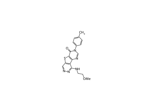 COCCNc1nncc2sc3c(=O)n(-c4ccc(C)cc4)cnc3c12